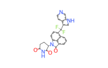 O=C1CCC(N2C(=O)c3cccc4c(C(F)(F)c5c[nH]c6cnccc56)ccc2c34)C(=O)N1